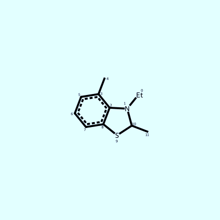 CCN1c2c(C)cccc2SC1C